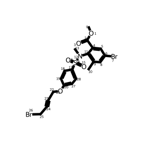 COC(=O)c1cc(Br)cc(C)c1N(C)S(=O)(=O)c1ccc(OCC#CCBr)cc1